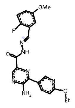 CCOc1ccc(-c2nc(C(=O)N/N=C/c3cc(OC)ccc3F)cnc2N)cn1